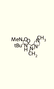 C=CN1CN2CCN(C)CC2=C1C(=O)NC(C(=O)NC)C(C)(C)C